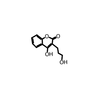 O=c1oc2ccccc2c(O)c1CCCO